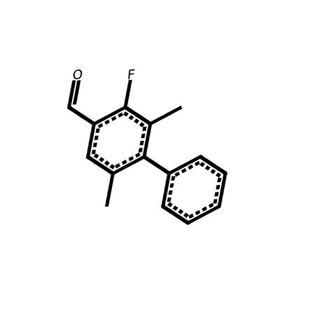 Cc1cc(C=O)c(F)c(C)c1-c1ccccc1